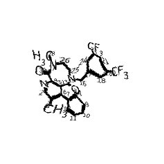 Cc1cnc2c(c1-c1ccccc1)C(=O)N(Cc1cc(C(F)(F)F)cc(C(F)(F)F)c1)CCN(C)C2=O